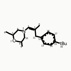 CC(=CN1CC(C)OC(C)C1)Cc1ccc(C(C)(C)C)cc1